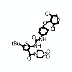 CC(C)(C)c1cc(C(=O)N2CCS(=O)(=O)CC2)c(NC(=O)Nc2ccc(Oc3c(Cl)cncc3Cl)cc2)s1